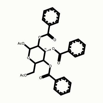 CC(=O)OCC1OC(OC(C)=O)C(OC(=O)c2ccccc2)[C@H](OC(=O)c2ccccc2)C1OC(=O)c1ccccc1